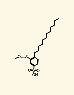 CCCCCCCCCCCCc1ccc(S(=O)(=O)O)cc1SOOC